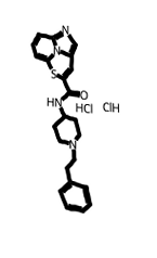 Cl.Cl.O=C(NC1CCN(CCc2ccccc2)CC1)C1=Cc2cnc3cccc(n23)S1